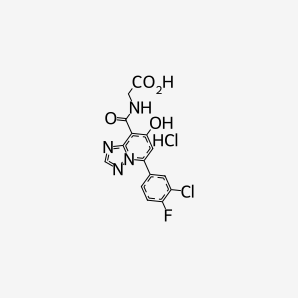 Cl.O=C(O)CNC(=O)c1c(O)cc(-c2ccc(F)c(Cl)c2)n2ncnc12